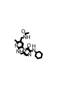 CC(=O)NCc1cc(-n2c(C)cnc(NC3CCCCC3)c2=O)c(N)nc1C